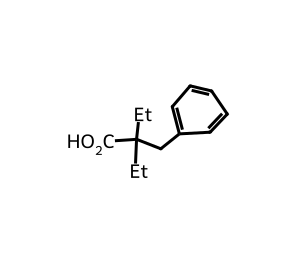 CCC(CC)(Cc1ccccc1)C(=O)O